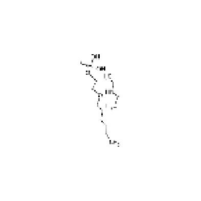 CCCCCCOCCOP(=O)(O)O.CCNCC